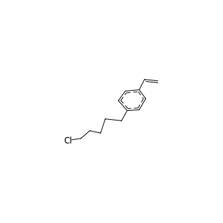 C=Cc1ccc(CCCCCCl)cc1